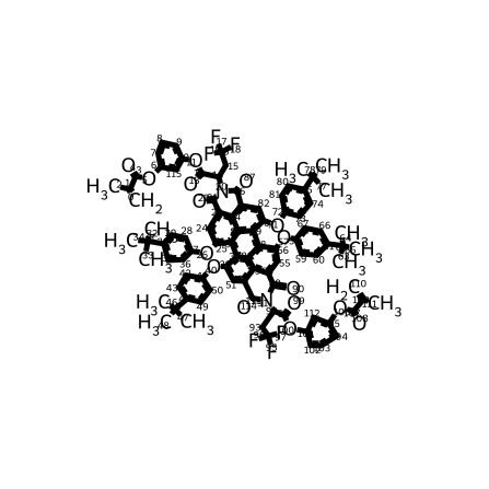 C=C(C)C(=O)Oc1cccc(OC(=O)C(CC(F)(F)F)N2C(=O)c3cc(Oc4ccc(C(C)(C)C)cc4)c4c5c(Oc6ccc(C(C)(C)C)cc6)cc6c7c(cc(Oc8ccc(C(C)(C)C)cc8)c(c8c(Oc9ccc(C(C)(C)C)cc9)cc(c3c48)C2=O)c75)C(=O)N(C(CC(F)(F)F)C(=O)Oc2cccc(OC(=O)C(=C)C)c2)C6=O)c1